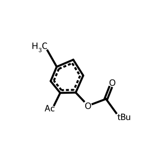 CC(=O)c1cc(C)ccc1OC(=O)C(C)(C)C